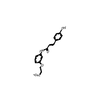 CCCCCCCCCCCCOc1cccc(NC(=O)C=Cc2ccc(O)cc2)c1